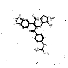 CC(C)Oc1ccc(C(=O)C(CC2CCCC2O)=C(C(=O)[O-])c2ccc3nsnc3c2)cc1.[Na+]